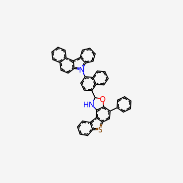 c1ccc(-c2cc3sc4ccccc4c3c3c2OC(c2ccc(-n4c5ccccc5c5c6ccccc6ccc54)c4ccccc24)N3)cc1